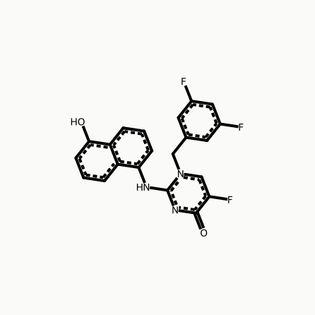 O=c1nc(Nc2cccc3c(O)cccc23)n(Cc2cc(F)cc(F)c2)cc1F